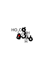 Cc1cc(NC(=O)c2nc(-c3ccccc3C)[nH]c2CCC23CC4CC(CC(C4)C2)C3)cc(C(=O)O)c1